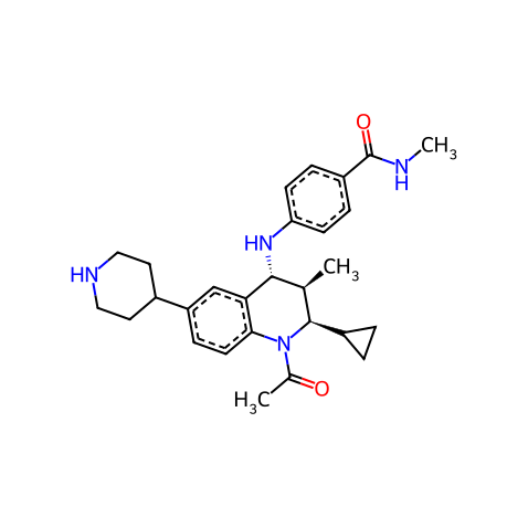 CNC(=O)c1ccc(N[C@H]2c3cc(C4CCNCC4)ccc3N(C(C)=O)[C@H](C3CC3)[C@@H]2C)cc1